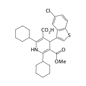 COC(=O)C1=C(C2CCCCC2)NC(C2CCCCC2)=C(C(=O)O)C1c1csc2ccc(Cl)cc12